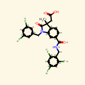 CC1(CC(=O)O)C(=O)N(Cc2cc(F)cc(F)c2)c2cc(C(=O)NCc3c(F)cc(F)cc3F)ccc21